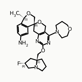 C[C@@H]1OC[C@@]2(Cc3nc(OC[C@@]45CCCN4C[C@H](F)C5)nc(N4CCCOCC4)c3CO2)c2cc(N)ccc21